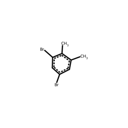 Cc1cc(Br)cc(Br)c1C